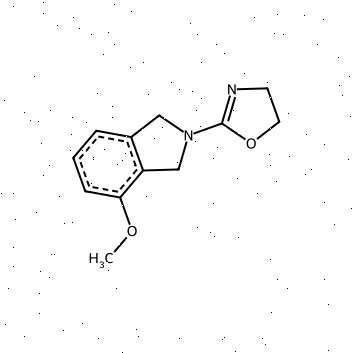 COc1cccc2c1CN(C1=NCCO1)C2